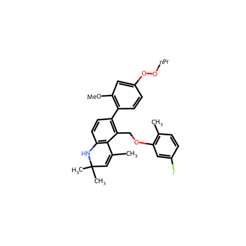 CCCOOc1ccc(-c2ccc3c(c2COc2cc(F)ccc2C)C(C)=CC(C)(C)N3)c(OC)c1